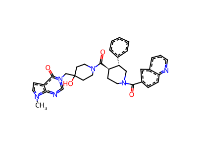 Cn1ccc2c(=O)n(CC3(O)CCN(C(=O)[C@@H]4CCN(C(=O)c5ccc6ncccc6c5)C[C@H]4c4ccccc4)CC3)cnc21